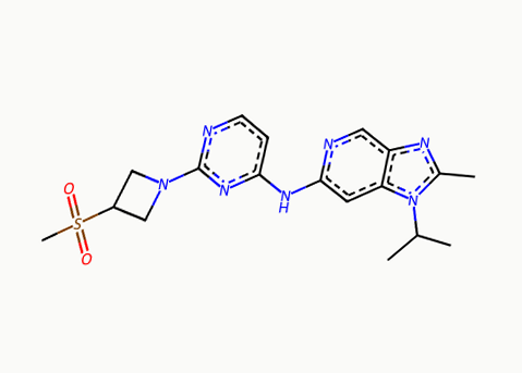 Cc1nc2cnc(Nc3ccnc(N4CC(S(C)(=O)=O)C4)n3)cc2n1C(C)C